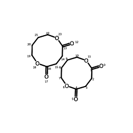 O=C1CCC(=O)OCCCCO1.O=C1CCC(=O)OCCCCO1